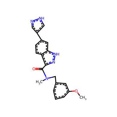 COc1cccc(CN(C)C(=O)c2n[nH]c3cc(-c4cn[nH]c4)ccc23)c1